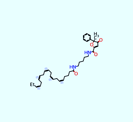 CC/C=C\C/C=C\C/C=C\C/C=C\C/C=C\CCCC(=O)NCCCCCNC(=O)C1=CC(=O)C(C)(c2ccccc2)O1